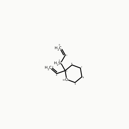 C=C[SiH2]C1(C=C)CCCCO1